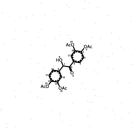 CC(=O)Oc1ccc(C(=O)C(O)c2ccc(OC(C)=O)c(OC(C)=O)c2)cc1OC(C)=O